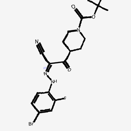 CC(C)(C)OC(=O)N1CCC(C(=O)/C(C#N)=N\Nc2ccc(Br)cc2F)CC1